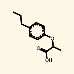 CCCc1ccc(OC(C)C(=O)O)cc1